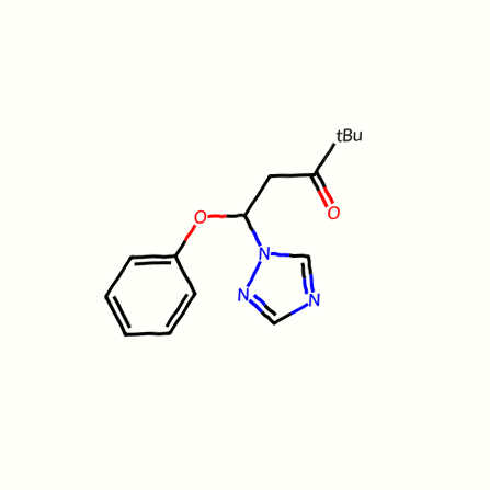 CC(C)(C)C(=O)CC(Oc1ccccc1)n1cncn1